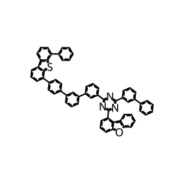 c1ccc(-c2cccc(-c3nc(-c4cccc(-c5cccc(-c6ccc(-c7cccc8c7sc7c(-c9ccccc9)cccc78)cc6)c5)c4)nc(-c4cccc5oc6ccccc6c45)n3)c2)cc1